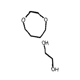 C1CCOCCOC1.OCCO